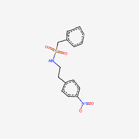 O=[N+]([O-])c1ccc(CCNS(=O)(=O)Cc2ccccc2)cc1